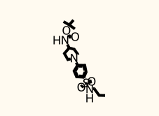 CCCNS(=O)(=O)c1ccc(N2CCC(NC(=O)OC(C)(C)C)CC2)cc1